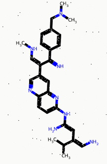 CN/C=C(\C(=N)c1ccc(CN(C)C)cc1)c1cnc2ccc(N/C(N)=C/C(=C\N)C(C)C)nc2c1